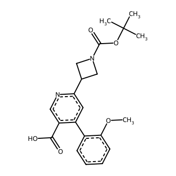 COc1ccccc1-c1cc(C2CN(C(=O)OC(C)(C)C)C2)ncc1C(=O)O